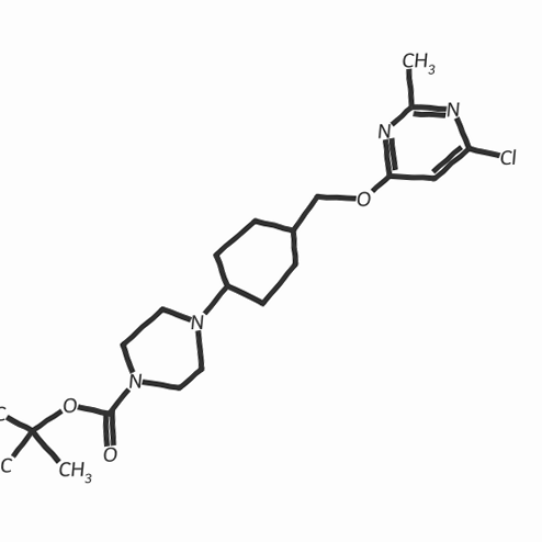 Cc1nc(Cl)cc(OCC2CCC(N3CCN(C(=O)OC(C)(C)C)CC3)CC2)n1